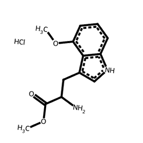 COC(=O)C(N)Cc1c[nH]c2cccc(OC)c12.Cl